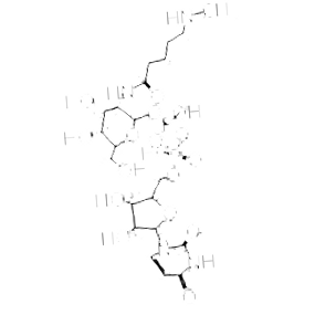 CNCCCCC(=O)N[C@@H]1C(OP(=O)(O)OP(=O)(O)OCC2OC(n3ccc(=O)[nH]c3=O)C(O)C2O)OC(CO)[C@H](O)[C@@H]1O